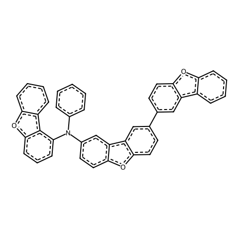 c1ccc(N(c2ccc3oc4ccc(-c5ccc6oc7ccccc7c6c5)cc4c3c2)c2cccc3oc4ccccc4c23)cc1